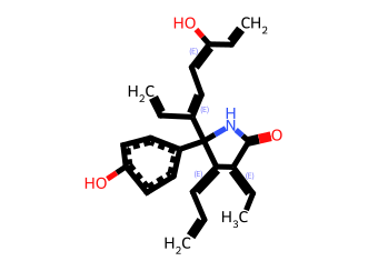 C=C/C=C1\C(=C/C)C(=O)NC1(/C(C=C)=C/C=C(/O)C=C)c1ccc(O)cc1